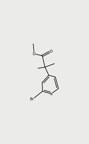 COC(=O)C(C)(C)c1ccnc(Br)c1